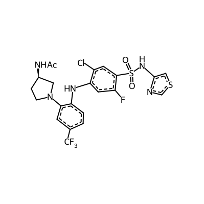 CC(=O)N[C@@H]1CCN(c2cc(C(F)(F)F)ccc2Nc2cc(F)c(S(=O)(=O)Nc3cscn3)cc2Cl)C1